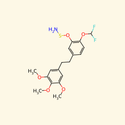 COc1cc(CCc2ccc(OC(F)F)c(OSN)c2)cc(OC)c1OC